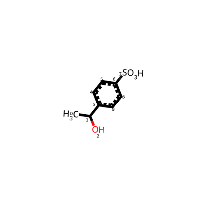 CC(O)c1ccc(S(=O)(=O)O)cc1